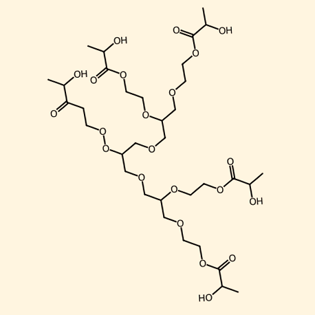 CC(O)C(=O)CCOOC(COCC(COCCOC(=O)C(C)O)OCCOC(=O)C(C)O)COCC(COCCOC(=O)C(C)O)OCCOC(=O)C(C)O